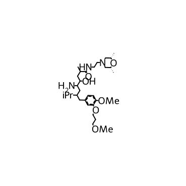 COCCCOc1cc(CC(CC(N)C(O)CC(C)C(=O)NCCN2C[C@@H](C)O[C@@H](C)C2)C(C)C)ccc1OC